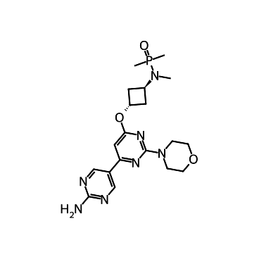 CN([C@H]1C[C@H](Oc2cc(-c3cnc(N)nc3)nc(N3CCOCC3)n2)C1)P(C)(C)=O